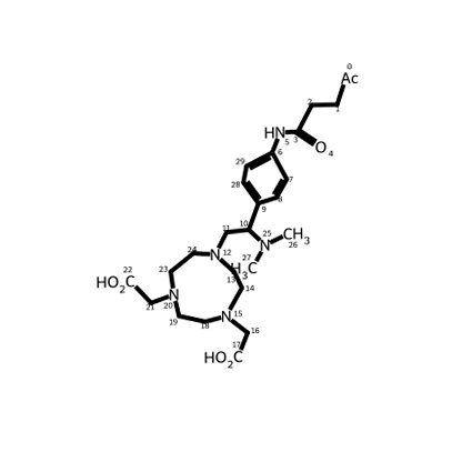 CC(=O)CCC(=O)Nc1ccc(C(CN2CCN(CC(=O)O)CCN(CC(=O)O)CC2)N(C)C)cc1